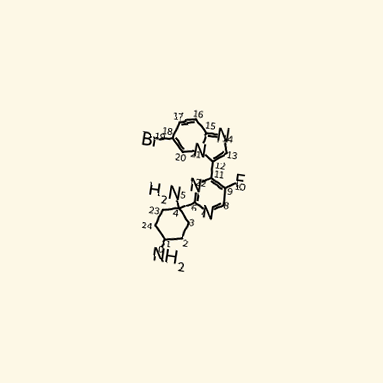 NC1CCC(N)(c2ncc(F)c(-c3cnc4ccc(Br)cn34)n2)CC1